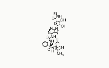 CCNC(=O)[C@H]1O[C@@H](n2cnc3c(NC(=O)Nc4ccccc4S(=O)(=O)NC45C[C@H]6C[C@@H](C4)C[C@](C)(C6)C5)ncnc32)C(O)C1O